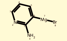 Nc1nccc[c]1[Mg][Br]